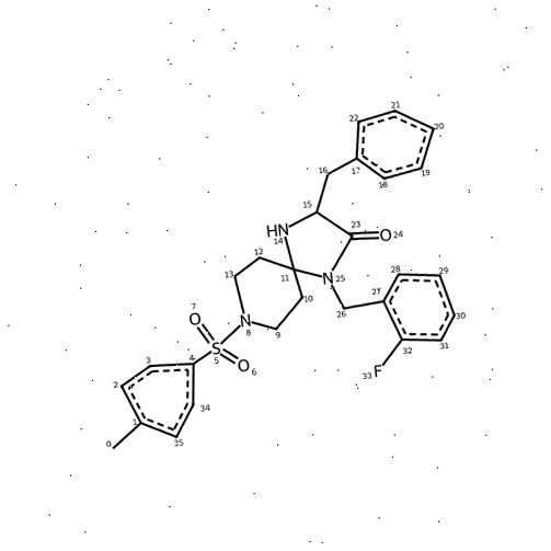 Cc1ccc(S(=O)(=O)N2CCC3(CC2)NC(Cc2ccccc2)C(=O)N3Cc2ccccc2F)cc1